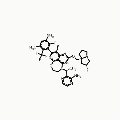 Cc1cc(N)c(F)c(-c2nc3c4c(nc(OC[C@@]56CCCN5C[C@H](F)C6)nc4c2F)N([C@H](C)c2nccnc2N)CCO3)c1C(F)(F)F